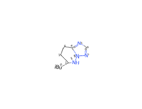 CCC(C)C1CCc2ncnn2N1